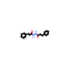 O=C(C=Cc1ccccc1)NNC(=O)C=Cc1ccccc1